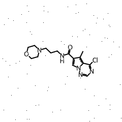 Cc1c(C(=O)NCCCN2CCOCC2)cn2ncnc(Cl)c12